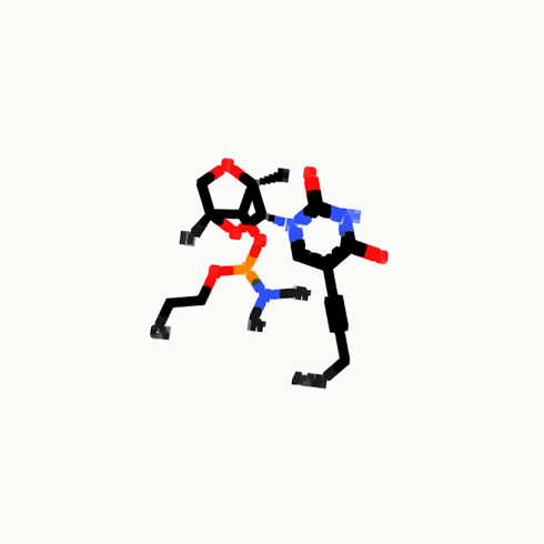 CC[C@@]12CO[C@H](C1OP(OCCC#N)N(C(C)C)C(C)C)[C@H](n1cc(C#CCNC(C)=O)c(=O)[nH]c1=O)O2